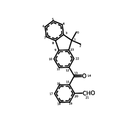 CC1(C)c2ccccc2-c2ccc(C(=O)c3ccccc3C=O)cc21